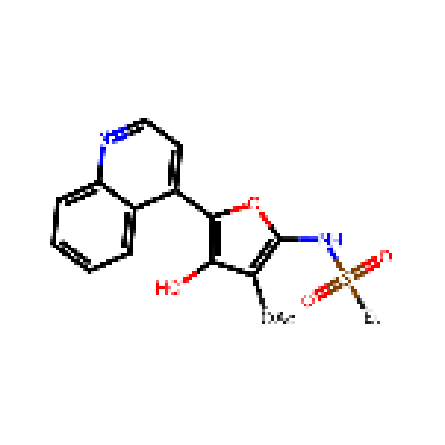 CCS(=O)(=O)Nc1oc(-c2ccnc3ccccc23)c(O)c1OC(C)=O